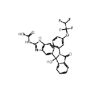 O=C(O)Nc1nc2cc(C3(O)c4ccccc4C(=O)N3c3cccc(OC(F)(F)C(F)F)c3)ccc2[nH]1